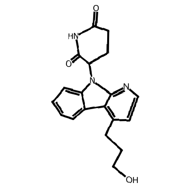 O=C1CCC(n2c3ccccc3c3c(CCCO)ccnc32)C(=O)N1